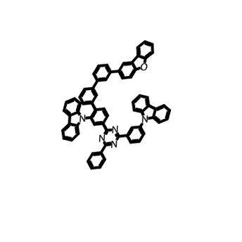 c1ccc(-c2nc(-c3cccc(-n4c5ccccc5c5ccccc54)c3)nc(-c3ccc(-c4cccc(-c5cccc(-c6ccc7oc8ccccc8c7c6)c5)c4)c(-n4c5ccccc5c5ccccc54)c3)n2)cc1